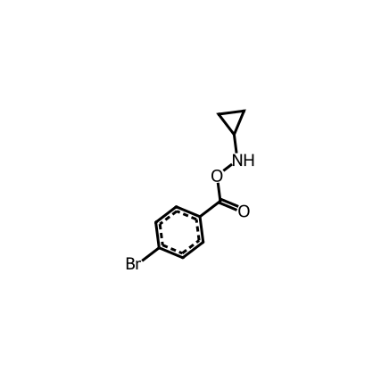 O=C(ONC1CC1)c1ccc(Br)cc1